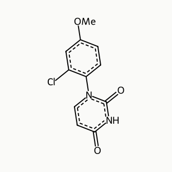 COc1ccc(-n2ccc(=O)[nH]c2=O)c(Cl)c1